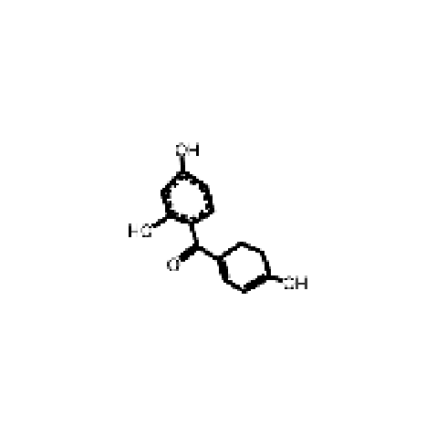 O=C(C1=CC=C(O)CC1)c1ccc(O)cc1O